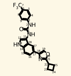 O=C(Nc1ccc(C(F)(F)F)cc1)Nc1c[nH]c2ccc(-c3coc(C4CCC4)n3)cc12